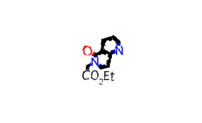 CCOC(=O)Cn1ccc2ncccc2c1=O